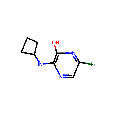 Oc1nc(Br)cnc1NC1CCC1